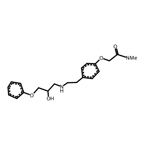 CNC(=O)COc1ccc(CCNCC(O)COc2ccccc2)cc1